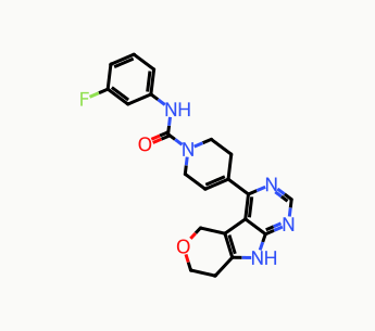 O=C(Nc1cccc(F)c1)N1CC=C(c2ncnc3[nH]c4c(c23)COCC4)CC1